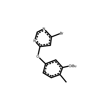 Cc1ccc(Oc2cc(Br)ncn2)cc1OCC(C)C